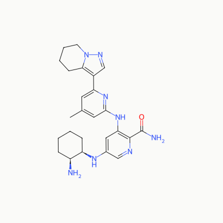 Cc1cc(Nc2cc(N[C@@H]3CCCC[C@@H]3N)cnc2C(N)=O)nc(-c2cnn3c2CCCC3)c1